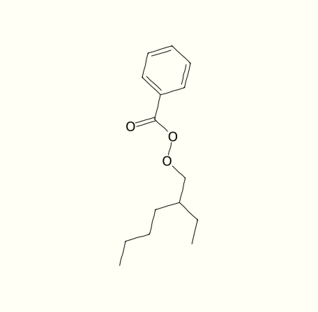 CCCCC(CC)COOC(=O)c1ccccc1